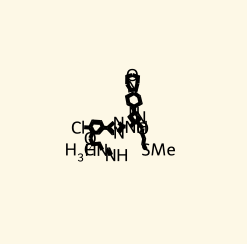 CSCCCOc1nn(C2CCC(N3C4CCC3COC4)CC2)cc1Nc1ncc(-c2ccc(Cl)c(O[C@@H](C)CNC=N)c2)cn1